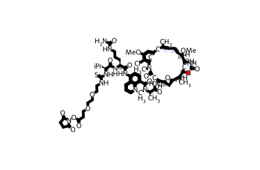 COc1cc2cc(c1Cl)N(C)C(=O)C[C@H](OC(=O)[C@H](C)N(C)C(=O)c1ccc(NC(=O)[C@H](CCCNC(N)=O)NC(=O)[C@@H](NC(=S)NCCOCCOCCC(=O)ON3C(=O)CCC3=O)C(C)C)c3cccnc13)[C@@]1(C)C[C@@H](O1)[C@H](C)[C@@H]1C[C@@](O)(NC(=O)O1)[C@H](OC)/C=C/C=C(\C)C2